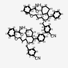 N#Cc1ccc(CN(CCCOc2ccccc2C(N)=O)CC(c2ccccc2)C2CCCCC2)cc1.N#Cc1ccc(CN(CCCOc2ccccc2C(N)=O)CC(c2ccccc2)C2CCCCC2)cc1